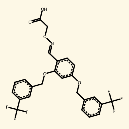 O=C(O)CON=Cc1ccc(OCc2cccc(C(F)(F)F)c2)cc1OCc1cccc(C(F)(F)F)c1